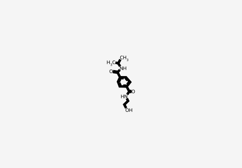 CC(C)NC(=O)c1ccc(C(=O)NCCO)cc1